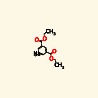 CCOC(=O)c1cccc(C(=O)OCC)c1.[Na]